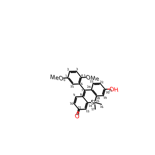 COc1ccc(OC)c(C2=C3C=CC(=O)C=C3[Si](C)(C)c3cc(O)ccc32)c1